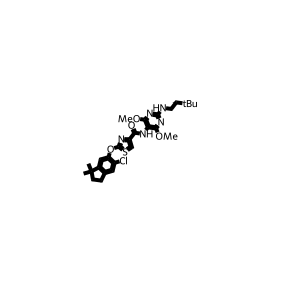 COc1nc(NC[CH]C(C)(C)C)nc(OC)c1NC(=O)c1csc(Oc2cc3c(cc2Cl)CCC3(C)C)n1